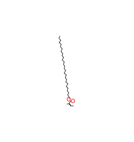 CC=C(C)C(=O)OCCCCCCCCCCCCCCCCCCCCCCCCCCCCC